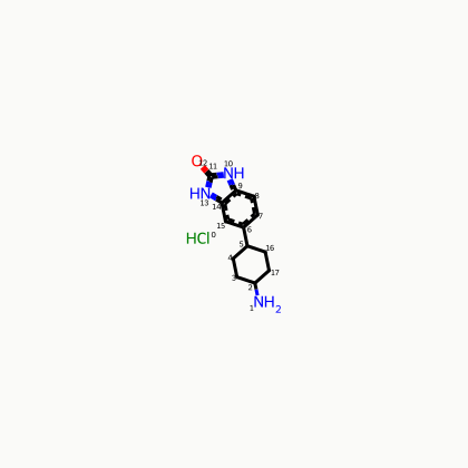 Cl.NC1CCC(c2ccc3[nH]c(=O)[nH]c3c2)CC1